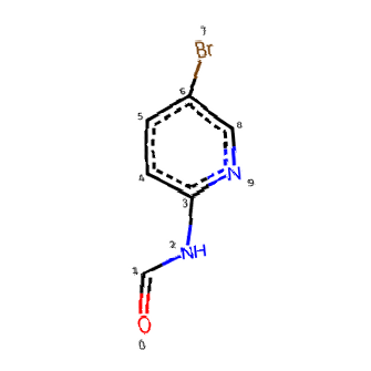 O=[C]Nc1ccc(Br)cn1